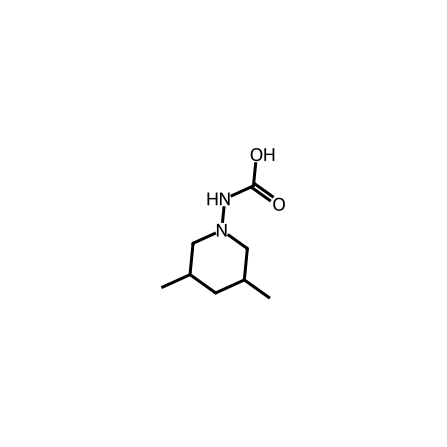 CC1CC(C)CN(NC(=O)O)C1